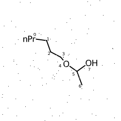 CCCCC[CH]OC(C)O